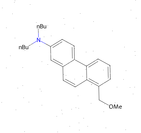 CCCCN(CCCC)c1ccc2c(ccc3c(COC)cccc32)c1